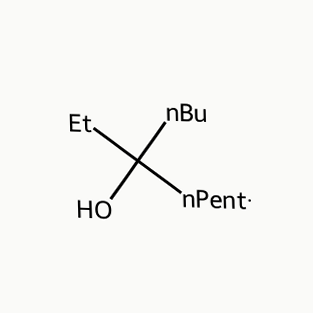 CCCC[CH]C(O)(CC)CCCC